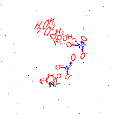 O.O.O.O.O.O.O.O=[N+]([O-])[O-].O=[N+]([O-])[O-].[Ni+2]